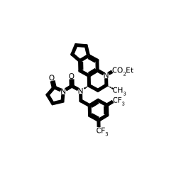 CCOC(=O)N1c2cc3c(cc2[C@@H](N(Cc2cc(C(F)(F)F)cc(C(F)(F)F)c2)C(=O)N2CCCC2=O)C[C@H]1C)CCC3